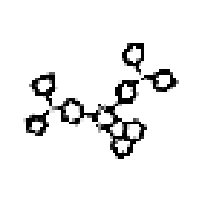 c1ccc(N(c2ccccc2)c2ccc(-c3nc(-c4ccc(N(c5ccccc5)c5ccccc5)cc4)c4c(n3)-c3cccc5cccc-4c35)cc2)cc1